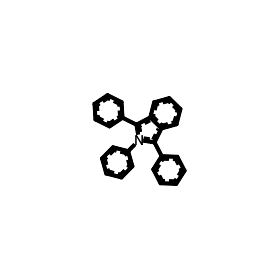 c1ccc(-c2c3ccccc3c(-c3ccccc3)n2-c2ccccc2)cc1